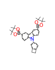 CC1(C)OB(c2ccc3c(c2)c2cc(B4OC(C)(C)C(C)(C)O4)ccc2n3-c2ccc3c(c2)CC3)OC1(C)C